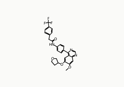 COc1cc2ncnc(-c3ccc(NC(=O)Cc4ccc(C(F)(F)F)cc4)cc3)c2cc1OC1CCOC1